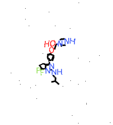 CC(C)CCNc1nc(-c2ccc(OCC(O)N3CCNCC3)cc2)c2c(n1)C(F)(F)CC2